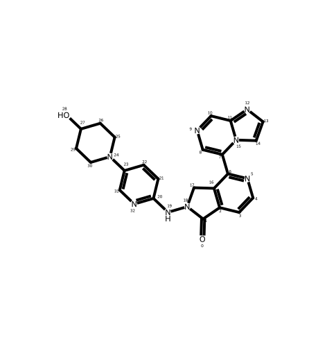 O=C1c2ccnc(-c3cncc4nccn34)c2CN1Nc1ccc(N2CCC(O)CC2)cn1